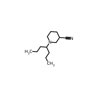 CCCC(CCC)N1CCCC(C#N)C1